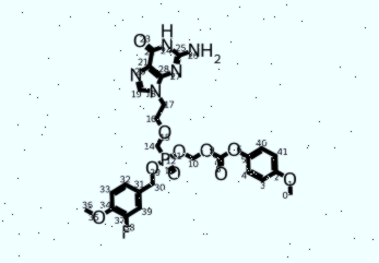 COc1ccc(OC(=O)OCOP(=O)(COCCn2cnc3c(=O)[nH]c(N)nc32)OCc2ccc(OC)c(F)c2)cc1